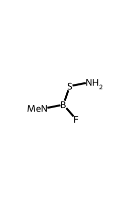 CNB(F)SN